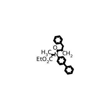 C=C(Cc1ccccc1)C(=O)N(c1ccc(-c2ccccc2)cc1)[C@@H](C)C(=O)OCC